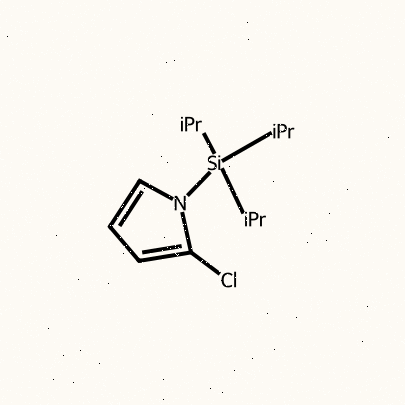 CC(C)[Si](C(C)C)(C(C)C)n1cccc1Cl